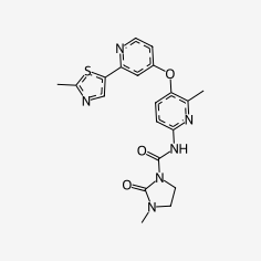 Cc1ncc(-c2cc(Oc3ccc(NC(=O)N4CCN(C)C4=O)nc3C)ccn2)s1